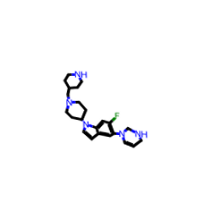 Fc1cc2c(ccn2C2CCN(CC3CCNCC3)CC2)cc1N1C=CCNC1